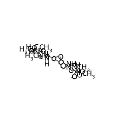 COC(=O)N[C@H](C(=O)N1[C@@H](C)CC[C@H]1c1ncc(-c2ccc3c(c2)COc2cc4c(ccc5nc([C@@H]6CC[C@@H](C)N6C(=O)[C@H](NC(=O)OC)c6ccccc6)[nH]c54)cc2-3)[nH]1)C(C)C